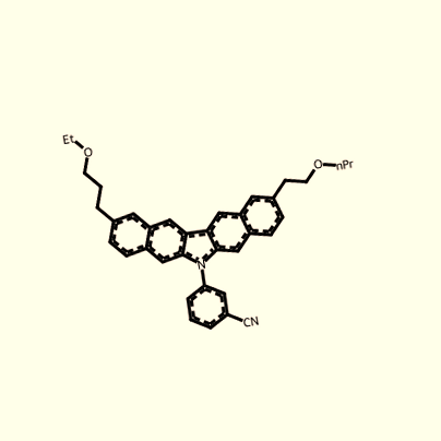 CCCOCCc1ccc2cc3c(cc2c1)c1cc2cc(CCCOCC)ccc2cc1n3-c1cccc(C#N)c1